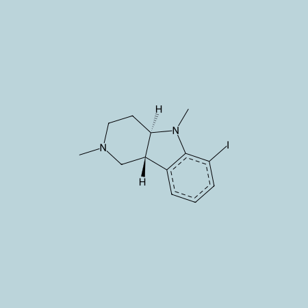 CN1CC[C@@H]2[C@@H](C1)c1cccc(I)c1N2C